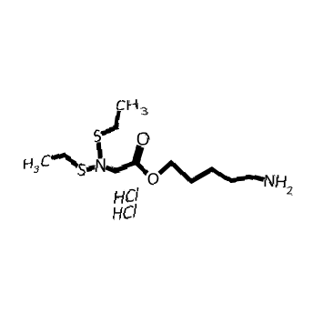 CCSN(CC(=O)OCCCCCN)SCC.Cl.Cl